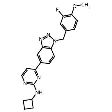 COc1ccc(Cn2nnc3cc(-c4ccnc(NC5CCC5)n4)ccc32)cc1F